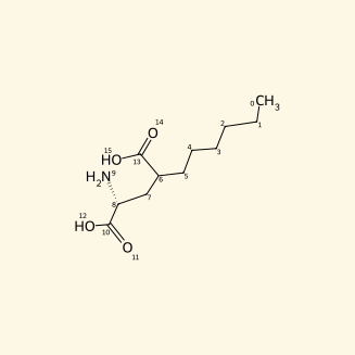 CCCCCCC(C[C@@H](N)C(=O)O)C(=O)O